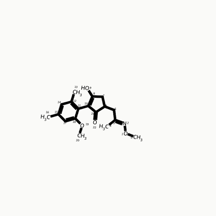 CO/N=C(\C)CC1CC(O)=C(c2c(C)cc(C)cc2OC)C1=O